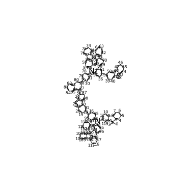 CC1(C)c2ccccc2-c2ccc(N(c3ccc(-c4ccc5sc6cc(-c7cc(-c8ccc(N(c9ccc(-c%10ccc%11sc%12ccccc%12c%11c%10)cc9)c9ccc%10c(c9)C(c9ccccc9)(c9ccccc9)c9ccccc9-%10)cc8)cc8ccccc78)ccc6c5c4)cc3)c3ccc4c(c3)C(c3ccccc3)(c3ccccc3)c3ccccc3-4)cc21